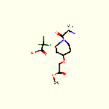 COC(=O)COC1CCN(C(=O)[C@H](C)N)CC1.O=C(O)C(F)(F)F